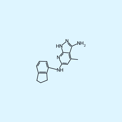 Cc1cc(Nc2cccc3c2CCC3)nc2[nH]nc(N)c12